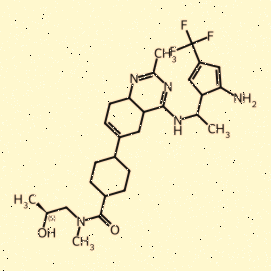 CC1=NC2CC=C(C3CCC(C(=O)N(C)C[C@H](C)O)CC3)CC2C(NC(C)C2C=C(C(F)(F)F)C=C2N)=N1